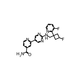 NC(=O)c1ccnc(-c2cnc(NCC3(c4ncccc4F)CC(F)C3)nc2)c1